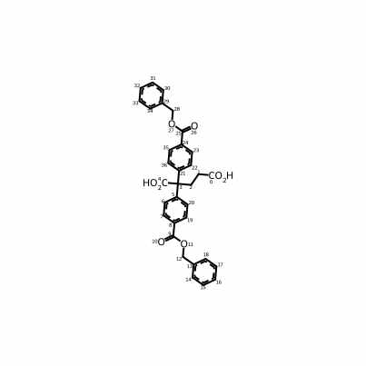 O=C(O)CCC(C(=O)O)(c1ccc(C(=O)OCc2ccccc2)cc1)c1ccc(C(=O)OCc2ccccc2)cc1